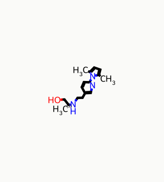 Cc1ccc(C)n1-c1ccc(CCN[C@@H](C)CO)cn1